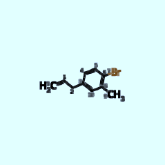 C=CCc1ccc(Br)c(C)c1